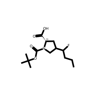 CCCC(F)C1C[C@@H](C(=O)O)N(C(=O)OC(C)(C)C)C1